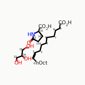 CCCCCCCC/C=C\CCCCCCCC(=O)O.O=C1CCC(C(=O)O)N1.OCC(O)CO